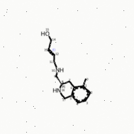 Cc1cccc2c1C[C@H](CNC/C=C/CO)NC2